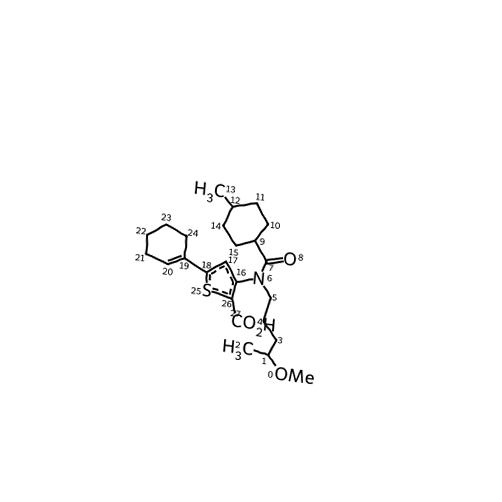 COC(C)CCCN(C(=O)C1CCC(C)CC1)c1cc(C2=CCCCC2)sc1C(=O)O